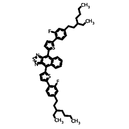 CCCCC(CC)CCc1ccc(-c2ccc(-c3c4ccccc4c(-c4ccc(-c5ccc(CCC(CC)CCCC)cc5F)s4)c4nsnc34)s2)c(F)c1